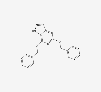 c1ccc(COc2nc(OCc3ccccc3)c3[nH]ccc3n2)cc1